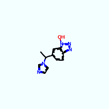 CC(c1ccc2nnn(O)c2c1)n1ccnc1